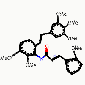 COc1ccccc1/C=C/C(=O)Nc1c(C=Cc2cc(OC)c(OC)c(OC)c2)ccc(OC)c1OC